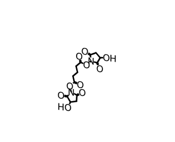 O=C(CCCC(=O)ON1C(=O)CC(O)C1=O)ON1C(=O)CC(O)C1=O